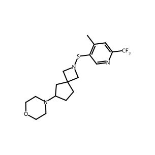 Cc1cc(C(F)(F)F)ncc1SN1CC2(CCC(N3CCOCC3)C2)C1